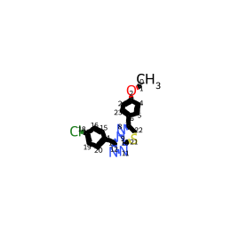 CCOc1ccc(C2=Nn3c(nnc3-c3ccc(Cl)cc3)SC2)cc1